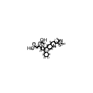 Cc1nc(C)c(-c2ccc3cc(-c4c(C5CCCCC5)cc(/C=C/C(=O)O)n4CC(=O)O)ccc3n2)s1